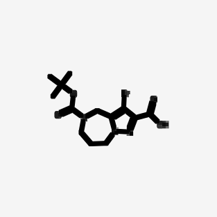 CC(C)(C)OC(=O)N1CCCn2nc(C(=O)O)c(Br)c2C1